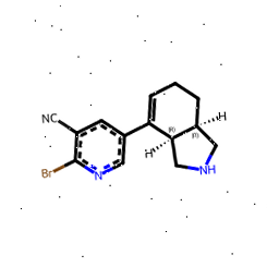 N#Cc1cc(C2=CCC[C@H]3CNC[C@@H]23)cnc1Br